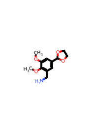 COc1cc(C2OCCO2)cc(CN)c1OC